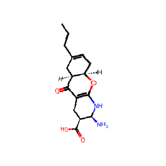 CCCC1=CC[C@H]2OC3=C(C[C@H](C(=O)O)[C@H](N)N3)C(=O)[C@H]2C1